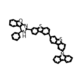 c1ccc(C2NC(c3ccc4c(c3)sc3ccc(-c5ccc6c(c5)sc5ccc(-n7c8ccccc8c8ccccc87)cc56)cc34)=Nc3oc4ccccc4c32)cc1